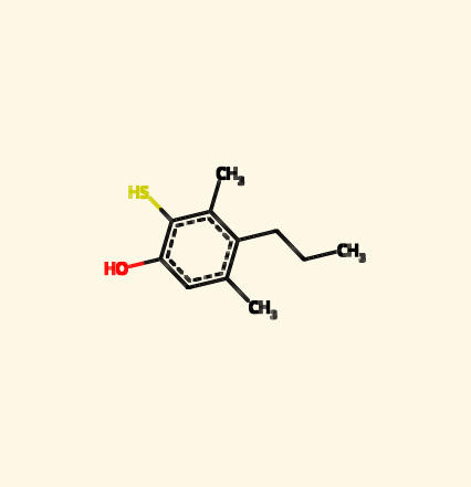 CCCc1c(C)cc(O)c(S)c1C